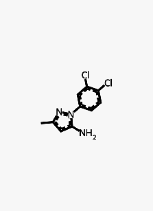 Cc1cc(N)n(-c2ccc(Cl)c(Cl)c2)n1